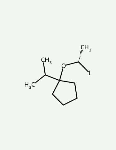 CC(C)C1(O[C@H](C)I)CCCC1